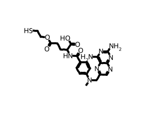 CN(Cc1cnc2nc(N)nc(N)c2n1)c1ccc(C(=O)NC(CCC(=O)OCCS)C(=O)O)cc1